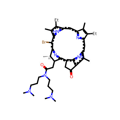 CCC1=C(C)c2cc3[nH]c(c(C)c3CC)c(Br)c3nc(c4c5[nH]c(cc1n2)c(C)c5C(=O)C4)C(CC(=O)N(CCCN(C)C)CCCN(C)C)[C@@H]3C